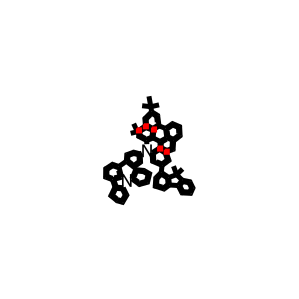 CC(C)(C)c1cc(-c2cccc3cccc(-c4ccccc4N(c4ccc(-c5cccc6c7ccccc7n(-c7ccccc7)c56)cc4)c4cccc(-c5cccc6c5C(C)(C)c5ccccc5-6)c4)c23)cc(C(C)(C)C)c1